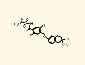 CNS(=O)(=O)NC(=O)c1cc(Cl)c(COc2ccc3c(c2)CCC(C)(C)C3)cc1F